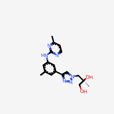 Cc1cc(Nc2nccc(C)n2)cc(-c2cn(C[C@@](C)(O)CO)nn2)c1